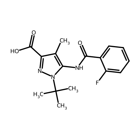 Cc1c(C(=O)O)nn(C(C)(C)C)c1NC(=O)c1ccccc1F